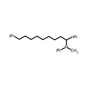 CCCC(CCCCCCCCC(C)C)N(C)C(C)C